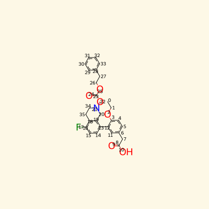 CCOc1ccc(CC(=O)O)cc1-c1ccc(F)c2c1CN(OC(=O)OCCc1ccccc1)CC2